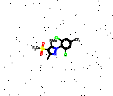 CNc1c(S(=O)(=O)C(F)(F)F)c(C)nn1-c1c(Cl)cc(C(F)(F)F)cc1Cl